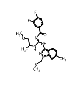 COC[C@H](C)N/C(=N/C(=O)c1ccc(F)c(F)c1)Nc1nn(CSC)c2cc(C)ccc12